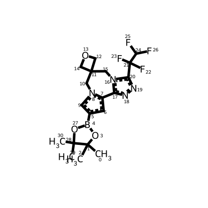 CC1(C)OB(c2cc3n(c2)CC2(COC2)Cn2c-3nnc2C(F)(F)C(F)F)OC1(C)C